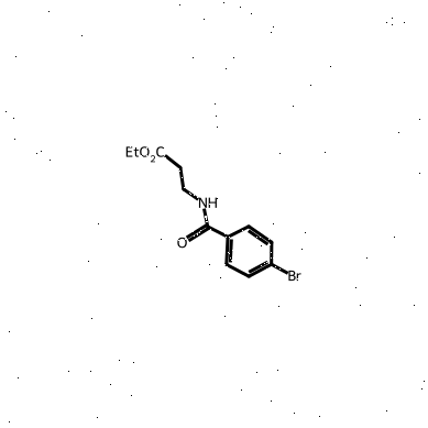 CCOC(=O)CCNC(=O)c1ccc(Br)cc1